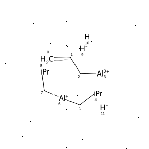 C=C[CH2][Al+2].CC(C)[CH2][Al+][CH2]C(C)C.[H-].[H-].[H-]